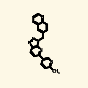 Cc1ccc(-c2ccc3nnn(Cc4ccc5ncccc5c4)c3n2)cn1